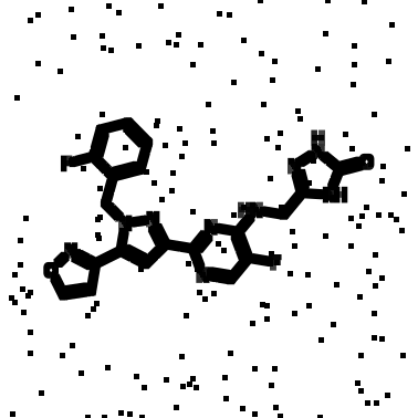 O=c1[nH]nc(CNc2nc(-c3cc(-c4ccon4)n(Cc4ccccc4F)n3)ncc2F)[nH]1